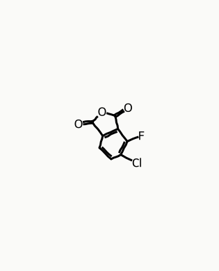 O=C1OC(=O)c2c1ccc(Cl)c2F